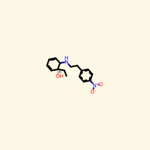 CC[C@@]1(O)C=CC=CC1NCCc1ccc([N+](=O)[O-])cc1